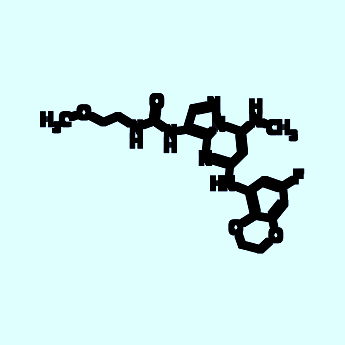 CNc1cc(Nc2cc(F)cc3c2OCCO3)nc2c(NC(=O)NCCOC)cnn12